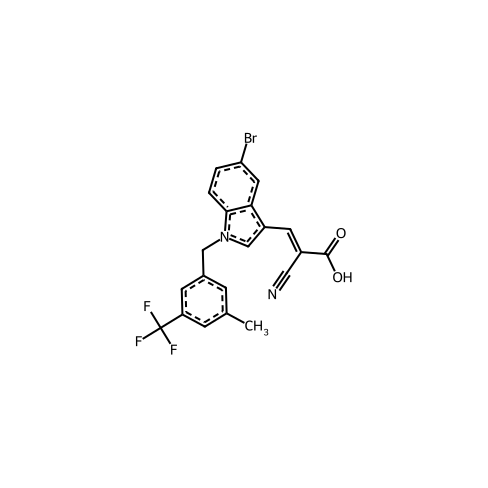 Cc1cc(Cn2cc(/C=C(\C#N)C(=O)O)c3cc(Br)ccc32)cc(C(F)(F)F)c1